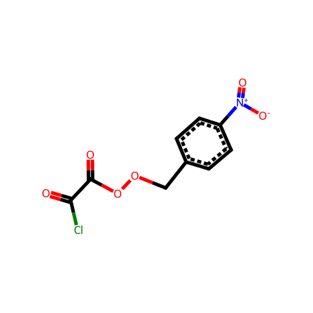 O=C(Cl)C(=O)OOCc1ccc([N+](=O)[O-])cc1